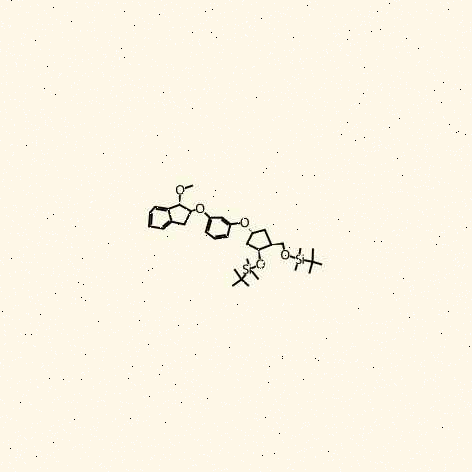 CO[C@@H]1c2ccccc2C[C@@H]1Oc1cccc(O[C@@H]2C[C@@H](CO[Si](C)(C)C(C)(C)C)[C@@H](O[Si](C)(C)C(C)(C)C)C2)c1